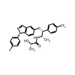 C[C@H](O)C(=O)N[C@@H](C)[C@H](Oc1ccc2c(cnn2-c2ccc(F)cc2)c1)c1ccc(C(F)(F)F)cc1